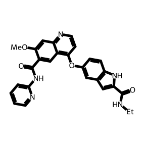 CCNC(=O)c1cc2cc(Oc3ccnc4cc(OC)c(C(=O)Nc5ccccn5)cc34)ccc2[nH]1